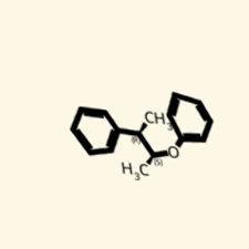 C[C@H](Oc1ccccc1)[C@H](C)c1ccccc1